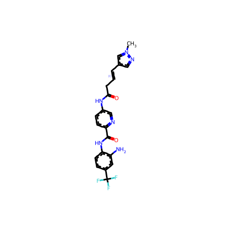 Cn1cc(/C=C/CC(=O)Nc2ccc(C(=O)Nc3ccc(C(F)(F)F)cc3N)nc2)cn1